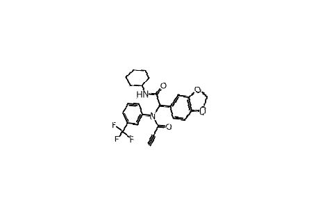 C#CC(=O)N(c1cccc(C(F)(F)F)c1)C(C(=O)NC1CCCCC1)c1ccc2c(c1)OCO2